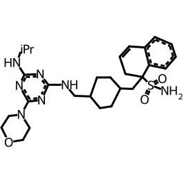 CC(C)Nc1nc(NCC2CCC(CC3(S(N)(=O)=O)CC=Cc4ccccc43)CC2)nc(N2CCOCC2)n1